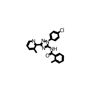 Cc1ccccc1C(=O)Nc1nc(-c2ncccc2C)nn1-c1ccc(Cl)cc1